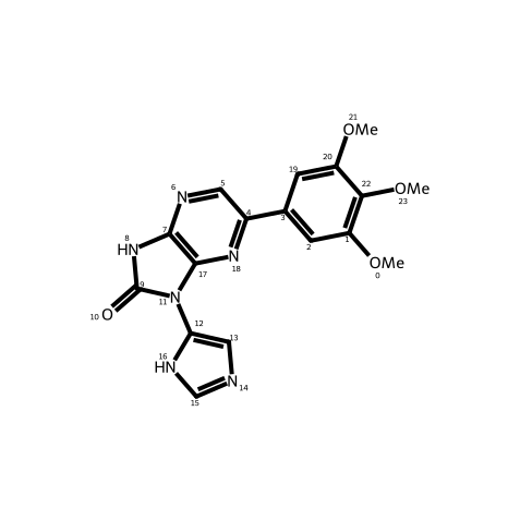 COc1cc(-c2cnc3[nH]c(=O)n(-c4cnc[nH]4)c3n2)cc(OC)c1OC